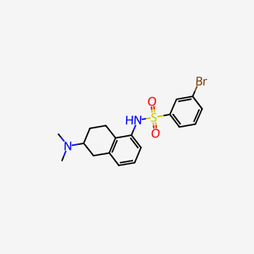 CN(C)C1CCc2c(cccc2NS(=O)(=O)c2cccc(Br)c2)C1